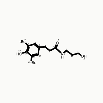 CC(C)(C)c1cc(CCC(=O)NCCCO)cc(C(C)(C)C)c1O